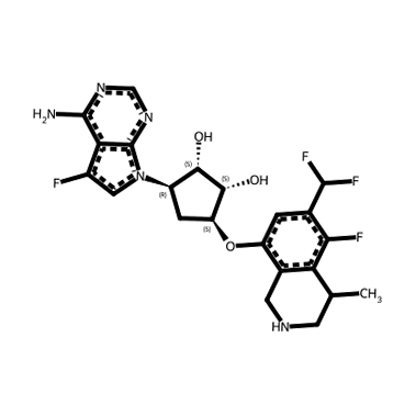 CC1CNCc2c(O[C@H]3C[C@@H](n4cc(F)c5c(N)ncnc54)[C@H](O)[C@@H]3O)cc(C(F)F)c(F)c21